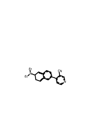 CCN(CC)C1C=c2ccc(-c3ccncc3C#N)cc2=CC1